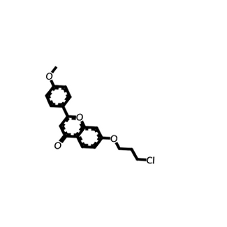 COc1ccc(-c2cc(=O)c3ccc(OCCCCl)cc3o2)cc1